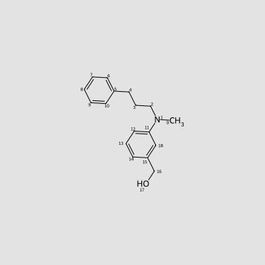 CN(CCCc1ccccc1)c1cccc(CO)c1